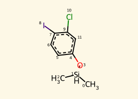 C[SiH](C)Oc1ccc(I)c(Cl)c1